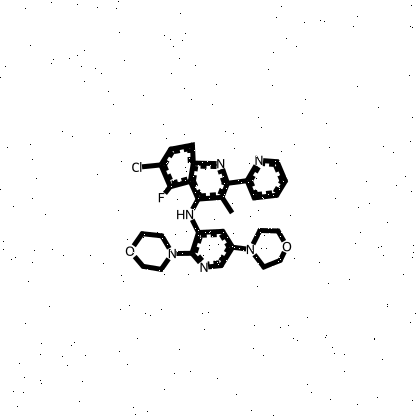 Cc1c(-c2ccccn2)nc2ccc(Cl)c(F)c2c1Nc1cc(N2CCOCC2)cnc1N1CCOCC1